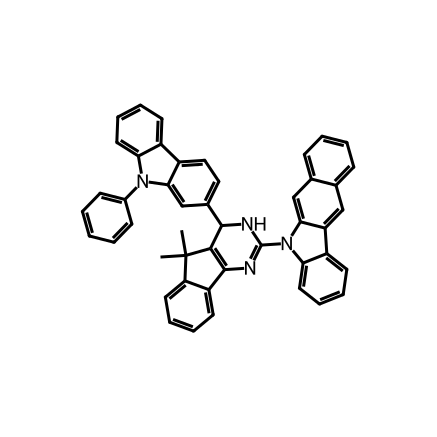 CC1(C)C2=C(N=C(n3c4ccccc4c4cc5ccccc5cc43)NC2c2ccc3c4ccccc4n(-c4ccccc4)c3c2)c2ccccc21